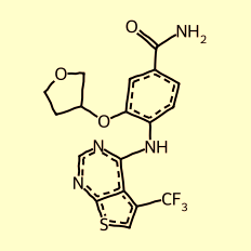 NC(=O)c1ccc(Nc2ncnc3scc(C(F)(F)F)c23)c(OC2CCOC2)c1